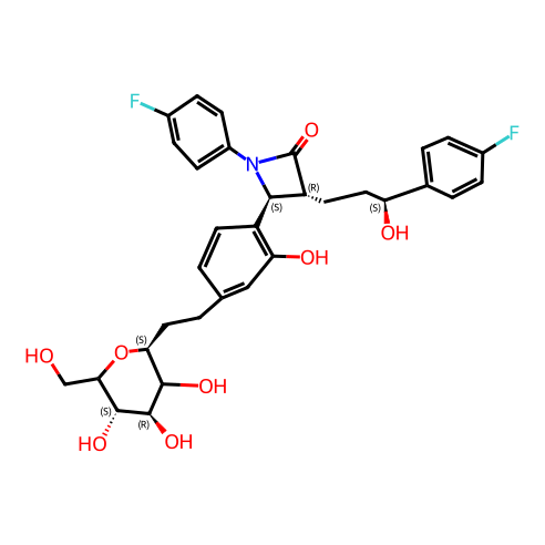 O=C1[C@H](CC[C@H](O)c2ccc(F)cc2)[C@@H](c2ccc(CC[C@@H]3OC(CO)[C@@H](O)[C@H](O)C3O)cc2O)N1c1ccc(F)cc1